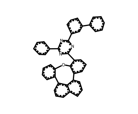 c1ccc(-c2cccc(-c3nc(-c4ccccc4)nc(-c4cccc5c4Oc4ccccc4-c4cccc6cccc-5c46)n3)c2)cc1